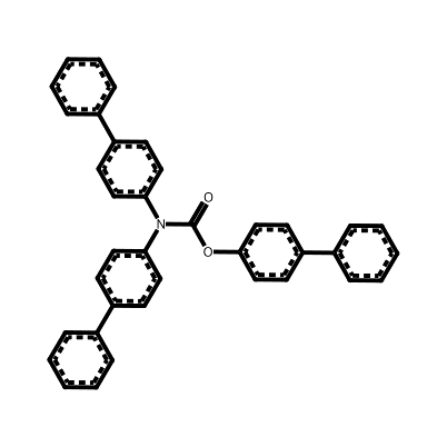 O=C(Oc1ccc(-c2ccccc2)cc1)N(c1ccc(-c2ccccc2)cc1)c1ccc(-c2ccccc2)cc1